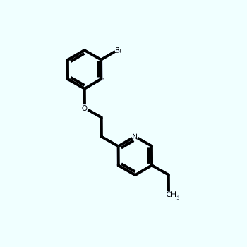 CCc1ccc(CCOc2[c]c(Br)ccc2)nc1